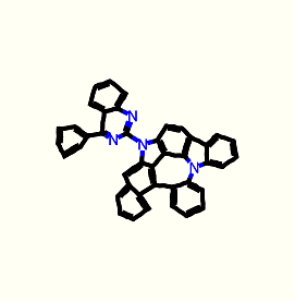 c1ccc(-c2nc(-n3c4cc5ccccc5c5c6ccccc6n6c7ccccc7c7ccc3c(c54)c76)nc3ccccc23)cc1